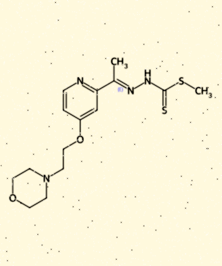 CSC(=S)N/N=C(\C)c1cc(OCCN2CCOCC2)ccn1